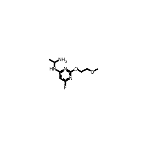 COCCOc1nc(F)cc(NC(C)N)n1